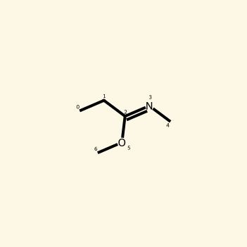 CC/C(=N/C)OC